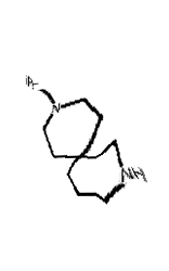 CC(C)N1CCC2(CCCNC2)CC1